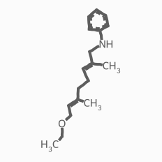 CCOC/C=C(\C)CC/C=C(\C)CNc1ccccc1